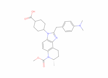 COC(=O)N1c2ccc3c(nc(Cc4ccc(N(C)C)cc4)n3C3CCC(C(=O)O)CC3)c2CC[C@@H]1C